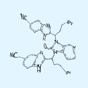 CC(C)CCC(c1nc2cc(C#N)ccc2[nH]1)n1c(=O)n(C(CCC(C)C)c2nc3cc(C#N)ccc3[nH]2)c2cnccc21